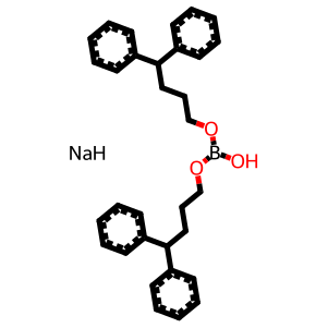 OB(OCCCC(c1ccccc1)c1ccccc1)OCCCC(c1ccccc1)c1ccccc1.[NaH]